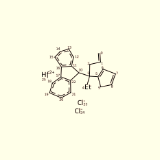 C=CCC(CC)(C1=CC=CC1)C1c2ccccc2-c2ccccc21.[Cl-].[Cl-].[Hf+2]